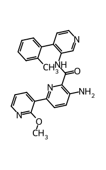 COc1ncccc1-c1ccc(N)c(C(=O)Nc2cnccc2-c2ccccc2C)n1